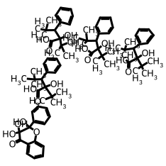 CC(C)(C)C(c1ccccc1)C(O)(C(=O)O)C(C)(C)C.CC(C)(C)C(c1ccccc1)C(O)(C(=O)O)C(C)(C)C.CC(C)(C)C(c1ccccc1)C(O)(C(=O)O)C(C)(C)C.CC(C)(C)C(c1ccccc1)C(O)(C(=O)O)C(C)(C)C.O=C1c2ccccc2OC(O)(c2ccccc2)C1(O)O